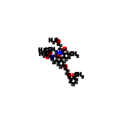 COCCCC(=O)Nc1cc(C)ccc1COC1CN(C(=O)OC(C)(C)C)CCC1c1ccc(OCCCOCc2ccccc2OC)cc1